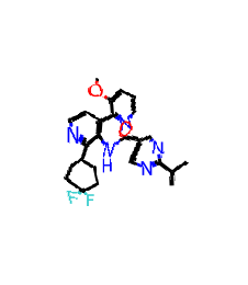 COc1cccnc1-c1ccnc(C2CCC(F)(F)CC2)c1NC(=O)c1cnc(C(C)C)nc1